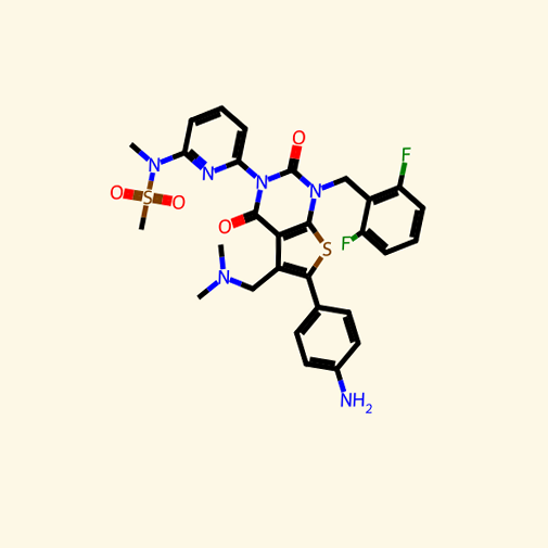 CN(C)Cc1c(-c2ccc(N)cc2)sc2c1c(=O)n(-c1cccc(N(C)S(C)(=O)=O)n1)c(=O)n2Cc1c(F)cccc1F